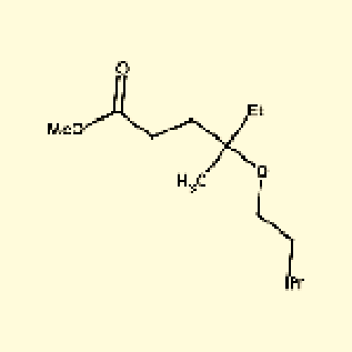 CCC(C)(CCC(=O)OC)OCCC(C)C